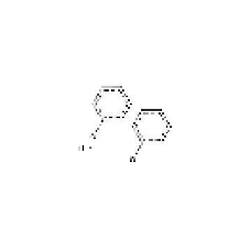 [O-]c1ccccc1.[O-]c1ccccc1.[Te+2]